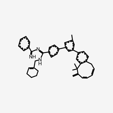 C=C1/C=C\C=C/Cc2ccc(-c3cc(C)cc(-c4ccc(/C(=N/C(=N)c5ccccc5)NCC5=CCCCC5)cc4)c3)cc2C1(C)C